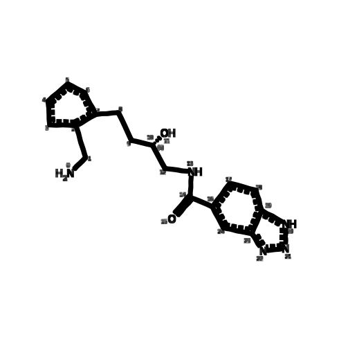 NCc1ccccc1CC[C@H](O)CNC(=O)c1ccc2[nH]nnc2c1